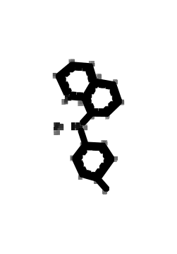 Cc1ccc(Nc2cccc3cccnc23)cc1.[Zn]